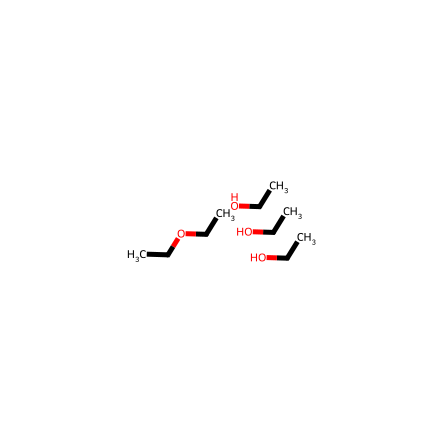 CCO.CCO.CCO.CCOCC